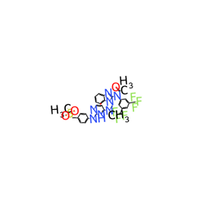 CC(=O)N(c1cc(C(F)(F)F)cc(C(F)(F)F)c1)c1nc2ccccc2n1CN(C)c1ccnc(Nc2ccc(CS(C)(=O)=O)cc2)n1